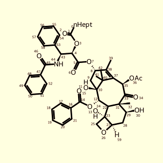 CCCCCCCC(=O)O[C@@H](C(=O)O[C@H]1C[C@@]2(O)[C@@H](OC(=O)c3ccccc3)C3[C@]4(O)CO[C@@H]4C[C@H](O)[C@@]3(C)C(=O)[C@H](OC(C)=O)C(=C1C)C2(C)C)[C@@H](NC(=O)c1ccccc1)c1ccccc1